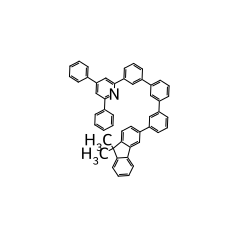 CC1(C)c2ccccc2-c2cc(-c3cccc(-c4cccc(-c5cccc(-c6cc(-c7ccccc7)cc(-c7ccccc7)n6)c5)c4)c3)ccc21